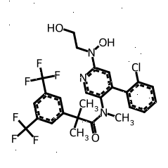 CN(C(=O)C(C)(C)c1cc(C(F)(F)F)cc(C(F)(F)F)c1)c1cnc(N(O)CCO)cc1-c1ccccc1Cl